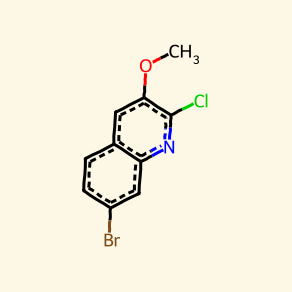 COc1cc2ccc(Br)cc2nc1Cl